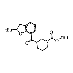 CC(C)(C)OC(=O)N1CCC[C@@H](C(=O)c2cccc3c2OC(C(C)(C)C)C3)C1